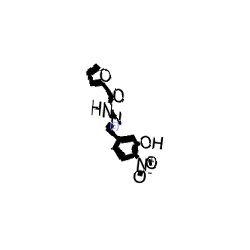 O=C(N/N=C/c1ccc([N+](=O)[O-])c(O)c1)c1ccco1